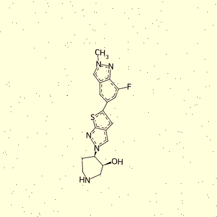 Cn1cc2cc(-c3cc4cn([C@@H]5CCNC[C@@H]5O)nc4s3)cc(F)c2n1